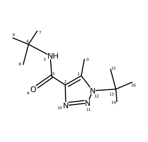 Cc1c(C(=O)NC(C)(C)C)nnn1C(C)(C)C